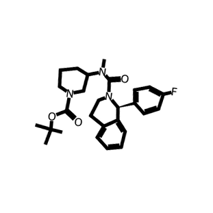 CN(C(=O)N1CCc2ccccc2[C@@H]1c1ccc(F)cc1)C1CCCN(C(=O)OC(C)(C)C)C1